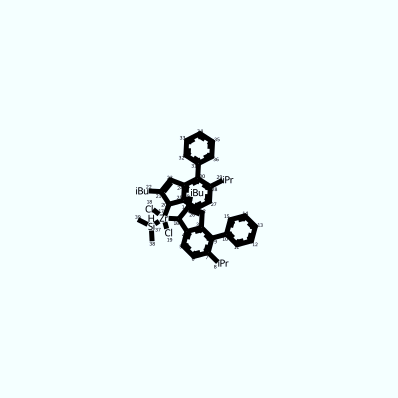 CCC(C)C1=Cc2c(ccc(C(C)C)c2-c2ccccc2)[CH]1[Zr]([Cl])([Cl])([CH]1C(C(C)CC)=Cc2c1ccc(C(C)C)c2-c1ccccc1)[SiH](C)C